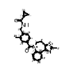 Cc1nc2c(s1)CCN(C(=O)c1ccc(CNC(=O)C3CC3)c(C)c1)c1ccccc1-2